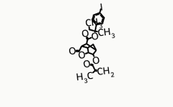 C=C(C)C(=O)OC1C2CC3C1OC(=O)C3C2C(=O)OC(C)(CC)c1ccc(I)cc1